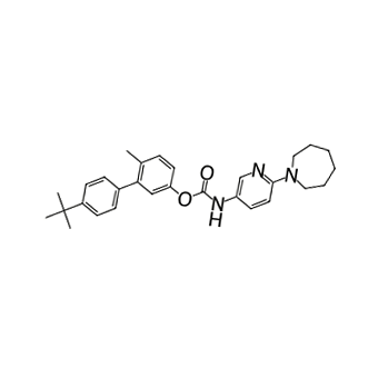 Cc1ccc(OC(=O)Nc2ccc(N3CCCCCC3)nc2)cc1-c1ccc(C(C)(C)C)cc1